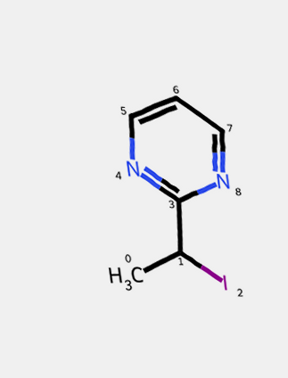 CC(I)c1ncccn1